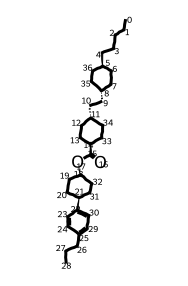 CCCCC[C@H]1CC[C@H](CC[C@H]2CC[C@H](C(=O)O[C@H]3CC[C@H](c4ccc(CCC)cc4)CC3)CC2)CC1